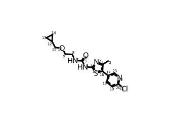 Cc1nc(NC(=O)NCCOCC2CC2)sc1-c1ccc(Cl)nc1